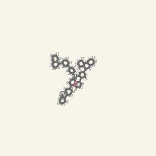 c1ccc(-c2ccc(-c3cc4ccccc4c4ccccc34)cc2N(c2ccc(-c3cccc(-c4cccc5ccccc45)c3)cc2)c2ccc(-c3ccc4c(c3)oc3ccccc34)cc2)cc1